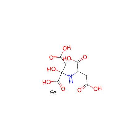 O=C(O)CC(NC(O)(CC(=O)O)C(=O)O)C(=O)O.[Fe]